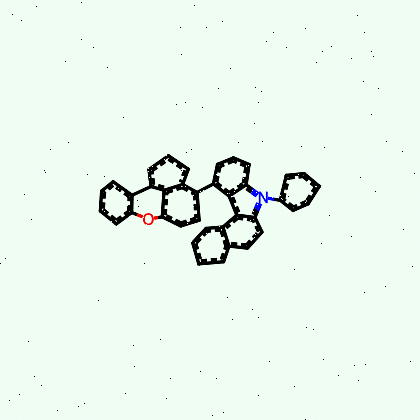 c1ccc(-n2c3cccc(-c4ccc5c6c(cccc46)-c4ccccc4O5)c3c3c4ccccc4ccc32)cc1